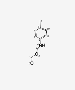 O=CO[CH]Nc1ccc(I)cc1